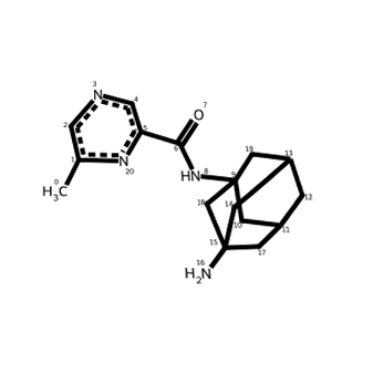 Cc1cncc(C(=O)NC23CC4CC(CC(N)(C4)C2)C3)n1